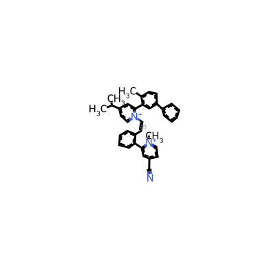 Cc1ccc(-c2ccccc2)cc1-c1cc(C(C)C)cc[n+]1/C=C\c1ccccc1-c1cc(C#N)cc[n+]1C